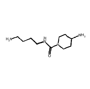 NCCCCNC(=O)N1CCC(N)CC1